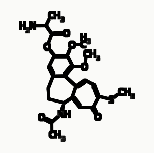 COc1c(OC(=O)C(C)N)cc2c(c1OC)-c1ccc(SC)c(=O)cc1[C@@H](NC(C)=O)CC2